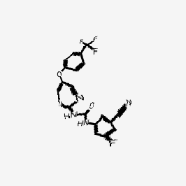 N#Cc1cc(F)cc(NC(=O)Nc2ncc(Oc3ccc(C(F)(F)F)cc3)cn2)c1